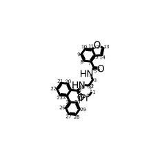 CC(C)C[C@@H](CNC(=O)c1cccc2occc12)NC(=O)c1ccccc1-c1ccccc1